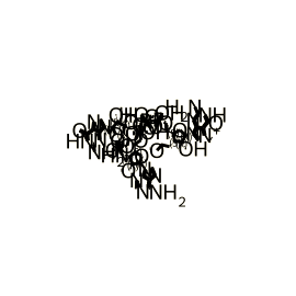 COCC[C@H]1[C@@H](O)[C@H](n2c[n+](C)c3c(=O)[nH]c(N)nc32)O[C@@H]1COP(=O)(O)OP(=O)(O)OP(=O)(O)OC[C@H]1O[C@@H](n2cnc3c(N)ncnc32)[C@H](OC)[C@@H]1NP(=O)([O-])OC[C@H]1O[C@@H](n2cnc3c(=O)[nH]c(N)nc32)[C@H](O)[C@@H]1O